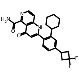 NC(=O)c1nccc2[nH]c(-c3ccc(C4CC(F)(F)C4)cc3C3CCCCC3)cc(=O)c12